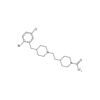 O=C(N1CCC(CCN2CCC(Cc3cc(Cl)ccc3Br)CC2)CC1)C(F)(F)F